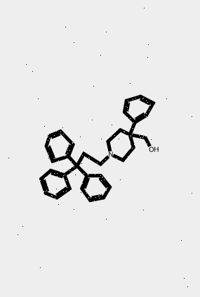 OCC1(c2ccccc2)CCN(CCC(c2ccccc2)(c2ccccc2)c2ccccc2)CC1